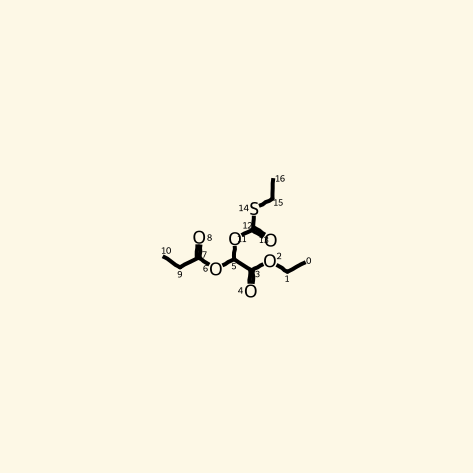 CCOC(=O)C(OC(=O)CC)OC(=O)SCC